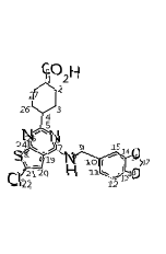 O=C(O)C1CCC(c2nc(NCc3ccc4c(c3)OCO4)c3cc(Cl)sc3n2)CC1